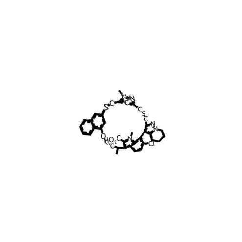 CC1CCOc2cc(cc3ccccc23)SCc2cc(nn2C)CSCc2nn3c(c2-c2c(Cl)ccc4c1c(C(=O)O)n(C)c24)CCCC3